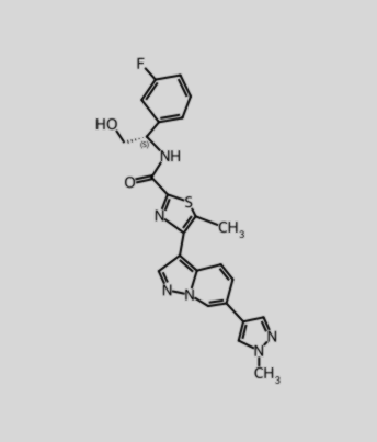 Cc1sc(C(=O)N[C@H](CO)c2cccc(F)c2)nc1-c1cnn2cc(-c3cnn(C)c3)ccc12